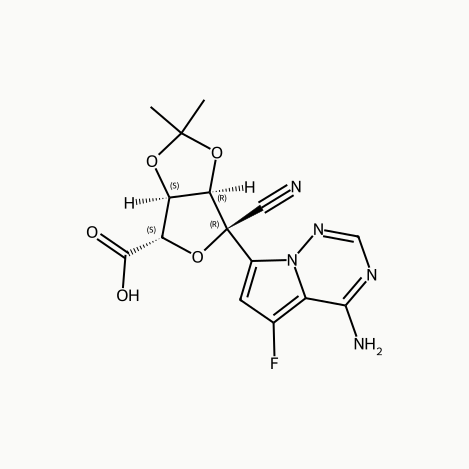 CC1(C)O[C@@H]2[C@@H](C(=O)O)O[C@@](C#N)(c3cc(F)c4c(N)ncnn34)[C@@H]2O1